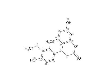 COc1cc(C2CC(=O)Oc3cc(O)cc(C)c32)ccc1O